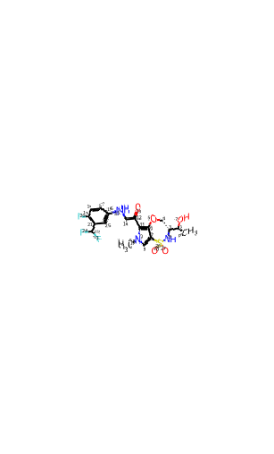 C[C@H](O)[C@H]1COc2c(cn(C)c2C(=O)CNc2ccc(F)c(C(F)F)c2)S(=O)(=O)N1